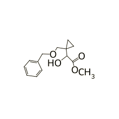 COC(=O)C(O)C1(COCc2ccccc2)CC1